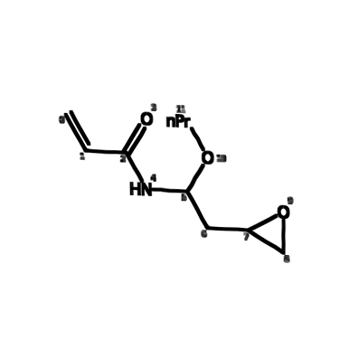 C=CC(=O)NC(CC1CO1)OCCC